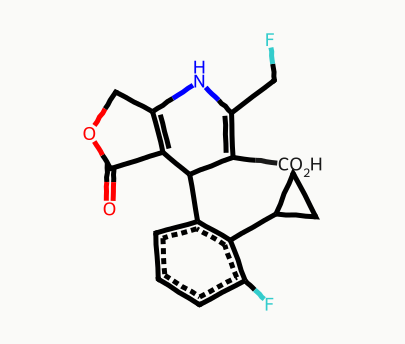 O=C(O)C1=C(CF)NC2=C(C(=O)OC2)C1c1cccc(F)c1C1CC1